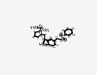 O=P(O)(O)N1CCCC1Cc1c[nH]c2ccc(CCS(=O)(=O)c3ccccc3)cc12